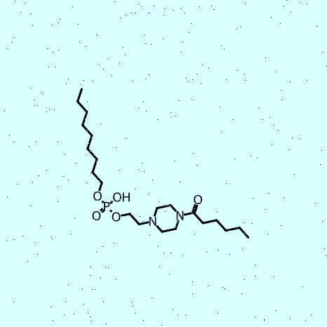 CCCCCCCCCOP(=O)(O)OCCN1CCN(C(=O)CCCCC)CC1